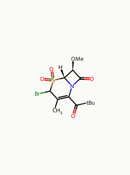 CO[C@H]1C(=O)N2C(C(=O)C(C)(C)C)=C(C)C(Br)S(=O)(=O)[C@H]12